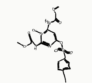 COC(=O)Nc1cc(OS(=O)(=O)c2ccc(C)cc2)nc(NC(=O)OC)[n+]1[O-]